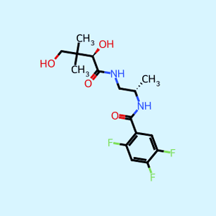 C[C@@H](CNC(=O)[C@H](O)C(C)(C)CO)NC(=O)c1cc(F)c(F)cc1F